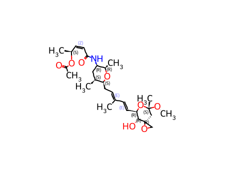 CO[C@]1(C)C[C@@]2(CO2)[C@H](O)[C@@H](/C=C/C(C)=C/C[C@@H]2O[C@H](C)[C@H](NC(=O)/C=C\[C@H](C)OC(C)=O)C[C@@H]2C)O1